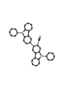 N#Cc1cc2c(cc1-c1ccc3c(c1)c1ccccc1n3-c1ccccc1)c1ccccc1n2-c1ccccc1